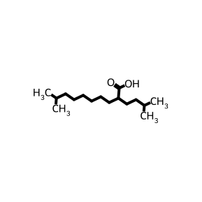 CC(C)CCCCCCC(CCC(C)C)C(=O)O